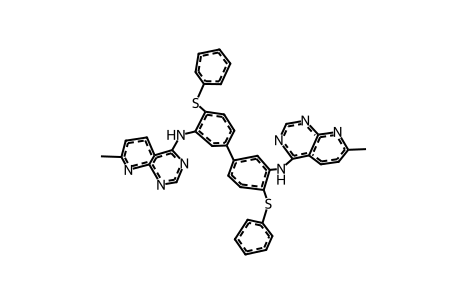 Cc1ccc2c(Nc3cc(-c4ccc(Sc5ccccc5)c(Nc5ncnc6nc(C)ccc56)c4)ccc3Sc3ccccc3)ncnc2n1